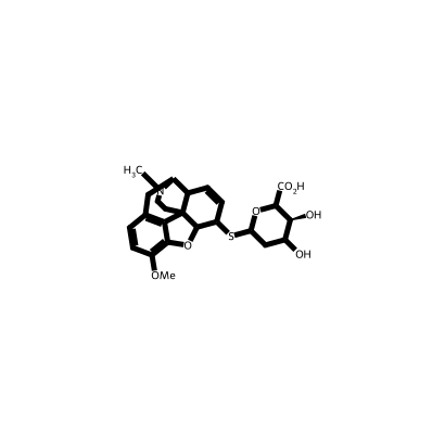 COc1ccc2c3c1OC1C(SC4CC(O)[C@H](O)C(C(=O)O)O4)C=CC4C(C2)N(C)CCC341